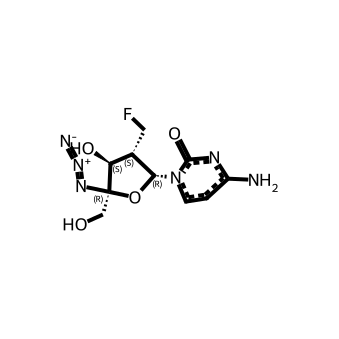 [N-]=[N+]=N[C@]1(CO)O[C@@H](n2ccc(N)nc2=O)[C@@H](CF)[C@@H]1O